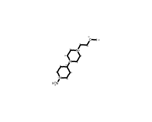 NN1CCC(N2CCN(CCOI)CC2)CC1